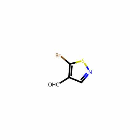 O=Cc1cnsc1Br